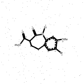 CCN1C(=O)C(C(=O)OC)CCc2cc(Br)c(OC)cc21